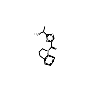 CC(N)c1nc(C(=O)N2CCCc3ccccc32)cs1